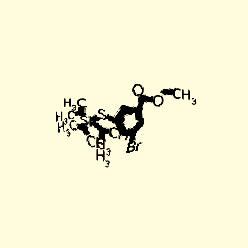 CCOC(=O)c1cc(Br)cc(S[Si](C(C)C)(C(C)C)C(C)C)c1